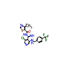 Cc1ncsc1C(=O)NC(=N)c1c(Cl)cncc1NCc1ccc(C(F)(F)F)cc1